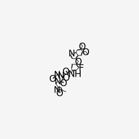 COc1cc2nccc(Oc3ccc(NC(=O)Oc4nn(C)c(=O)n(Cc5cc(C)on5)c4=O)cc3F)c2cc1OC